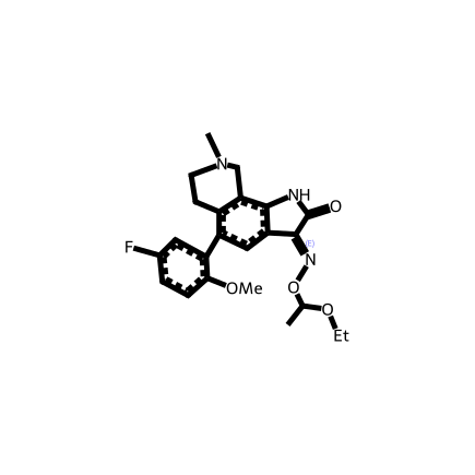 CCOC(C)O/N=C1/C(=O)Nc2c1cc(-c1cc(F)ccc1OC)c1c2CN(C)CC1